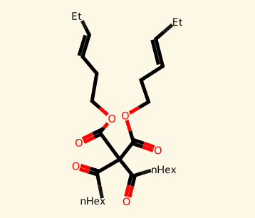 CCC=CCCOC(=O)C(C(=O)CCCCCC)(C(=O)CCCCCC)C(=O)OCCC=CCC